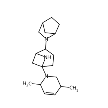 CC1C=CC(C)N(C23CCC(N4CC5CCC4C5)C(C2)N3)C1